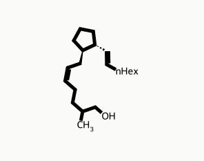 CCCCCC/C=C/[C@H]1CCC[C@@H]1C/C=C\CCC(C)CO